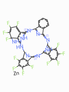 NC1(F)C(F)=C(F)C(F)=c2c1c1[nH]\c2=N/C2=N\C(=N/c3[nH]c(c4c(F)c(F)c(F)c(F)c34)/N=C3\N=C(N1)c1c(F)c(F)c(F)c(F)c13)c1ccccc12.[Zn]